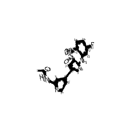 CC(=O)Nc1cc(-c2cnc3c(c2)S(=O)(=O)Nc2ccc(F)cc2N3)ccn1